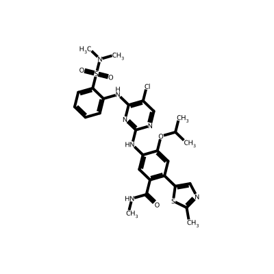 CNC(=O)c1cc(Nc2ncc(Cl)c(Nc3ccccc3S(=O)(=O)N(C)C)n2)c(OC(C)C)cc1-c1cnc(C)s1